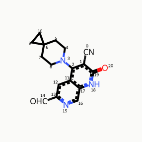 N#Cc1c(N2CCC3(CC2)CC3)c2cc(C=O)ncc2[nH]c1=O